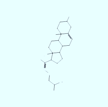 CCC(O)CO/N=C(/C)C1CCC2C3CC=C4CC(O)CCC4(C)C3CCC12C